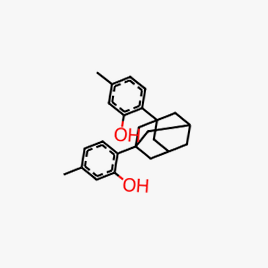 Cc1ccc(C23CC4CC(C2)CC(c2ccc(C)cc2O)(C4)C3)c(O)c1